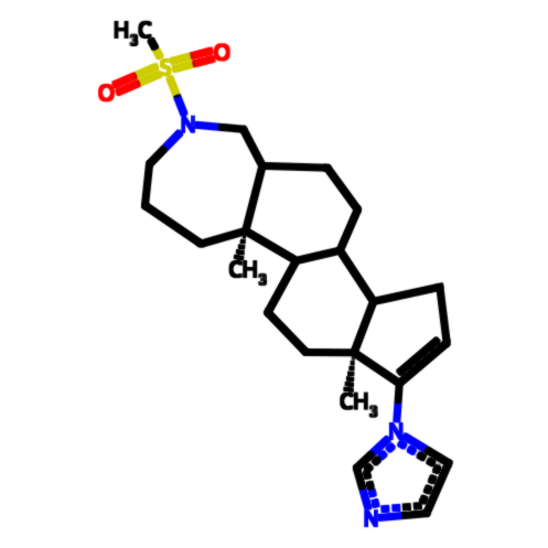 C[C@]12CCCN(S(C)(=O)=O)CC1CCC1C2CC[C@]2(C)C(n3ccnc3)=CCC12